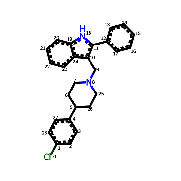 Clc1ccc(C2CCN(Cc3c(-c4ccccc4)[nH]c4ccccc34)CC2)cc1